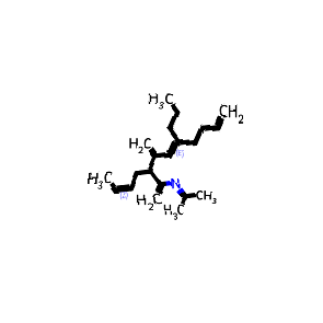 C=CCC/C(=C/C(=C)C(C/C=C\C)C(=C)N=C(C)C)CCC